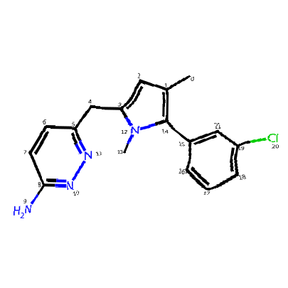 Cc1cc(Cc2ccc(N)nn2)n(C)c1-c1[c]ccc(Cl)c1